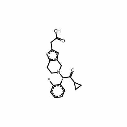 O=C(O)Cc1cc2c(s1)CCN([C@@H](C(=O)C1CC1)c1ccccc1F)C2